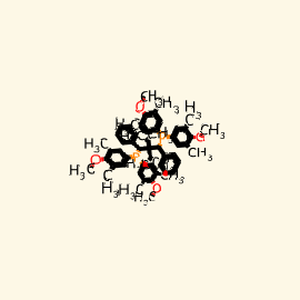 COc1c(C)cc(P(c2cc(C)c(OC)c(C)c2)C(c2ccccc2)C(C(C)C)(C(C)C)C(c2ccccc2)P(c2cc(C)c(OC)c(C)c2)c2cc(C)c(OC)c(C)c2)cc1C